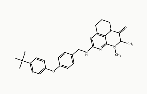 CC1C(=O)N2CCCc3nc(NCc4ccc(Oc5ccc(C(F)(F)F)nc5)cc4)nc(c32)N1C